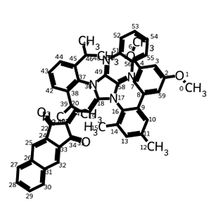 COc1cc(OC)cc(-c2cc(C)cc(C)c2N2/C(=C/C=C3C(=O)c4cc5ccccc5cc4C3=O)N(c3c(C(C)C)cccc3C(C)C)c3nc4ccccc4nc32)c1